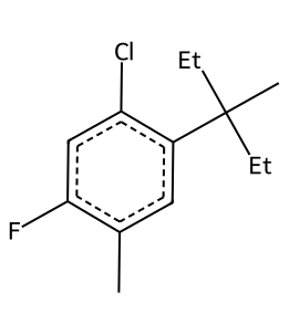 CCC(C)(CC)c1cc(C)c(F)cc1Cl